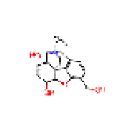 CN1CC[C@]23c4c5ccc(CO)c4OC2[C@@H](O)C=C[C@@]3(O)C1C5